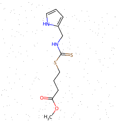 COC(=O)CCCSC(=S)NCc1ccc[nH]1